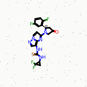 O=C1C[C@H](c2cc(F)ccc2F)N(c2ccn3ncc(NC(=S)NC4CC4(F)F)c3n2)C1